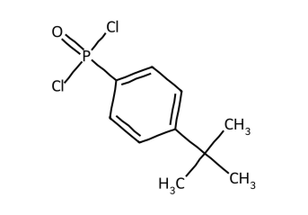 CC(C)(C)c1ccc(P(=O)(Cl)Cl)cc1